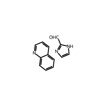 O=Cc1ncc[nH]1.c1ccc2ncccc2c1